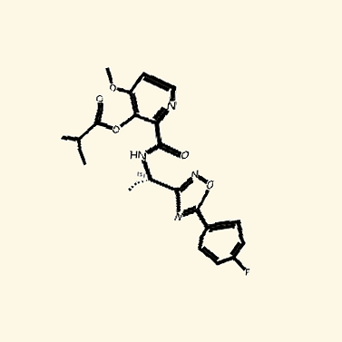 COc1ccnc(C(=O)N[C@@H](C)c2noc(-c3ccc(F)cc3)n2)c1OC(=O)C(C)C